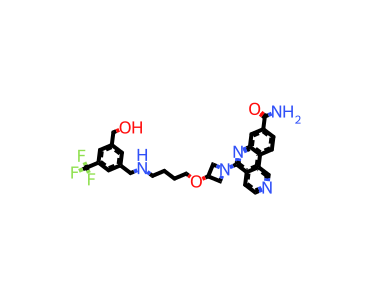 NC(=O)c1ccc2c(c1)nc(N1CC(OCCCCNCc3cc(CO)cc(C(F)(F)F)c3)C1)c1ccncc12